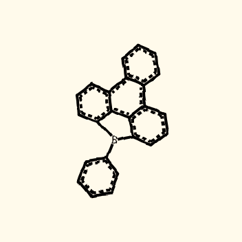 c1ccc(B2c3cccc4c5ccccc5c5cccc2c5c34)cc1